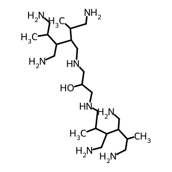 CC(CN)C(CN)C(CN)C(C)CNCC(O)CNCC(C(C)CN)C(CN)C(C)CN